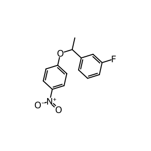 CC(Oc1ccc([N+](=O)[O-])cc1)c1cccc(F)c1